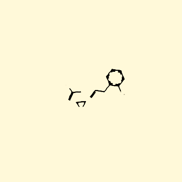 C1CO1.C=C(C)C(=O)O.C=CCc1ccccc1O